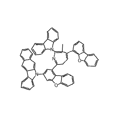 CC1=C(n2c3ccccc3c3ccccc32)N=C(c2cc(-n3c4ccccc4c4cc5ccccc5cc43)cc3oc4ccccc4c23)CC=C1c1cccc2c1oc1ccccc12